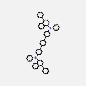 c1ccc(C2=c3ccccc3=C(N(c3ccccc3)c3ccc(-c4ccc(-c5ccc(N(c6ccccc6)c6ccc(-c7ccccc7)c7ccccc67)cc5)cc4)cc3)CC2)cc1